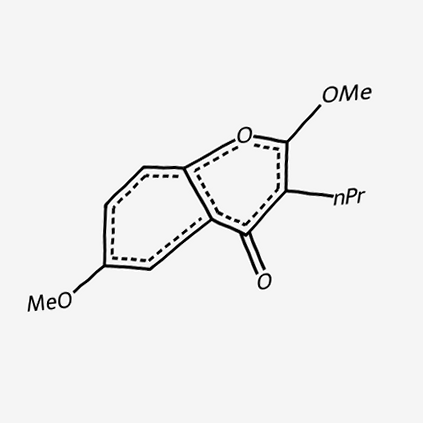 CCCc1c(OC)oc2ccc(OC)cc2c1=O